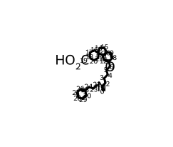 CN(CCCCOc1ccc2c(c1)C1(CC2)CCC(C(=O)O)CC1)CCCc1ccccc1